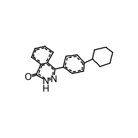 O=c1[nH]nc(-c2ccc(C3CCCCC3)cc2)c2ccccc12